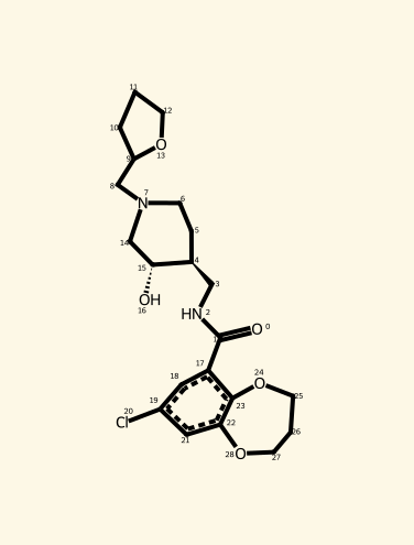 O=C(NC[C@@H]1CCN(CC2CCCO2)C[C@H]1O)c1cc(Cl)cc2c1OCCCO2